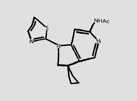 CC(=O)Nc1cc2c(cn1)C1(CC1)CN2c1nccs1